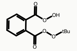 CC(C)(C)OOC(=O)c1ccccc1C(=O)OO